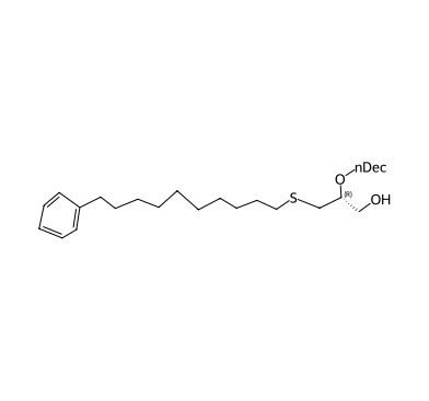 CCCCCCCCCCO[C@H](CO)CSCCCCCCCCCCc1ccccc1